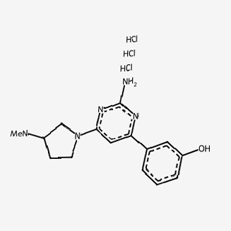 CNC1CCN(c2cc(-c3cccc(O)c3)nc(N)n2)C1.Cl.Cl.Cl